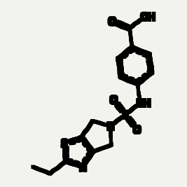 CCc1nc2c(s1)CN(S(=O)(=O)Nc1ccc(C(=O)O)cc1)C2